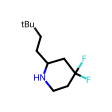 CC(C)(C)CCC1CC(F)(F)CCN1